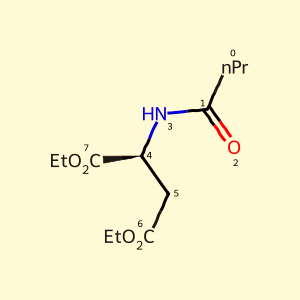 CCCC(=O)N[C@@H](CC(=O)OCC)C(=O)OCC